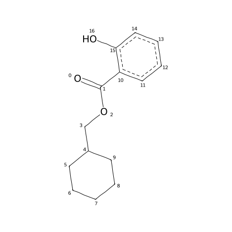 O=C(OCC1CCCCC1)c1ccccc1O